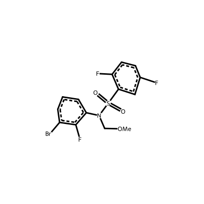 COCN(c1cccc(Br)c1F)S(=O)(=O)c1cc(F)ccc1F